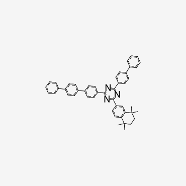 CC1(C)CCC(C)(C)c2cc(-c3nc(-c4ccc(-c5ccccc5)cc4)nc(-c4ccc(-c5ccc(-c6ccccc6)cc5)cc4)n3)ccc21